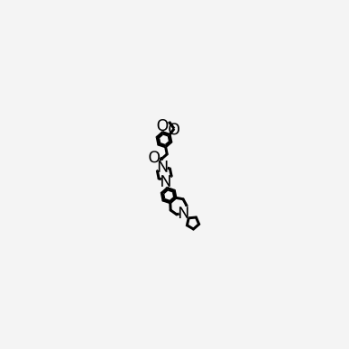 O=C(Cc1ccc2c(c1)OCO2)N1CCN(c2ccc3c(c2)CCN(C2CCCC2)CC3)CC1